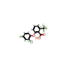 O=C(O)c1c(Oc2ccc(F)cc2Cl)cccc1C(F)(F)F